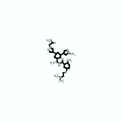 Cc1ccc(OCCN(C)C)cc1C(=O)N[C@H](C)c1cc(-c2cnn(C)c2)cc(-c2cnn(CC(N)=O)c2)c1